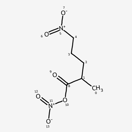 CC(CCC[N+](=O)[O-])C(=O)O[N+](=O)[O-]